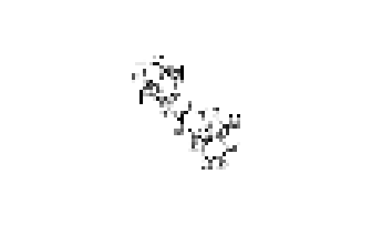 O=C1CC2(CCN(C[C@H]3CC[C@H]4CC=C[C@@H](C4)C3)CC2)c2ccccc21